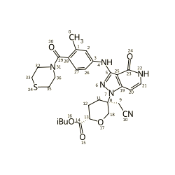 Cc1cc(Nc2nn([C@]3(CC#N)CC[C@@H](C(=O)OCC(C)C)OC3)c3cc[nH]c(=O)c23)ccc1C(=O)N1CCSCC1